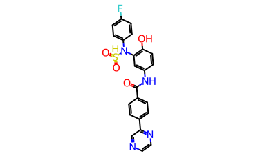 O=C(Nc1ccc(O)c(N(c2ccc(F)cc2)[SH](=O)=O)c1)c1ccc(-c2cnccn2)cc1